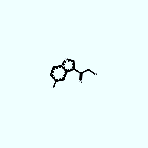 O=C(CBr)c1csc2ccc(Cl)cc12